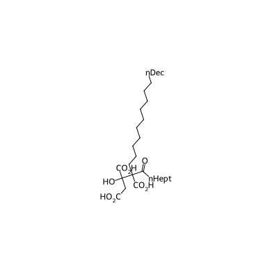 CCCCCCCCCCCCCCCCCCCCC(C(=O)O)(C(=O)CCCCCCC)C(O)(CC(=O)O)C(=O)O